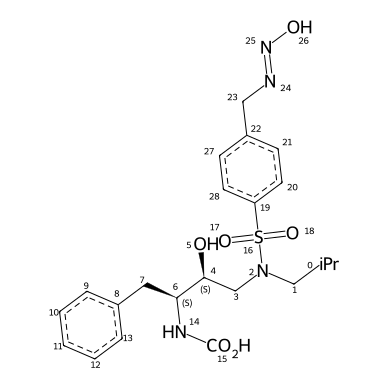 CC(C)CN(C[C@H](O)[C@H](Cc1ccccc1)NC(=O)O)S(=O)(=O)c1ccc(CN=NO)cc1